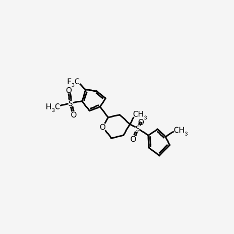 Cc1cccc(S(=O)(=O)C2(C)CCOC(c3ccc(C(F)(F)F)c(S(C)(=O)=O)c3)C2)c1